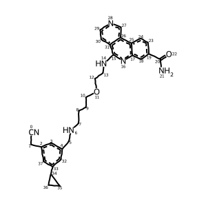 N#CCc1cc(CNCCCCOCCNc2nc3cc(C(N)=O)ccc3c3cnccc23)cc(C2CC2)c1